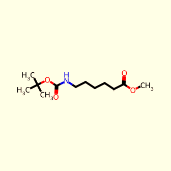 COC(=O)[CH]CCCCNC(=O)OC(C)(C)C